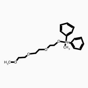 COCCOCCOCCO[PH](C)(c1ccccc1)c1ccccc1